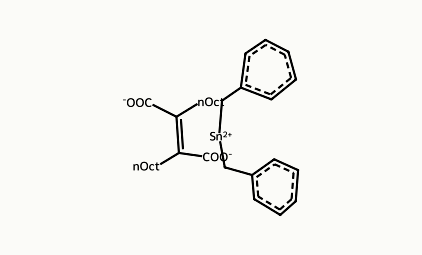 CCCCCCCCC(C(=O)[O-])=C(CCCCCCCC)C(=O)[O-].c1ccc([CH2][Sn+2][CH2]c2ccccc2)cc1